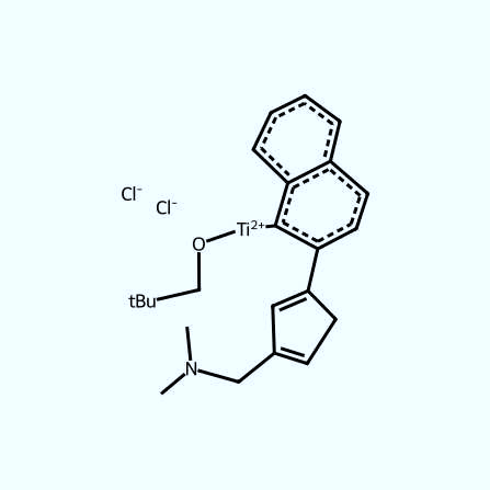 CN(C)CC1=CCC(c2ccc3ccccc3[c]2[Ti+2][O]CC(C)(C)C)=C1.[Cl-].[Cl-]